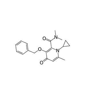 Cc1cc(=O)c(OCc2ccccc2)c(C(=O)N(C)C)n1C1CC1